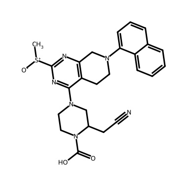 C[S+]([O-])c1nc2c(c(N3CCN(C(=O)O)C(CC#N)C3)n1)CCN(c1cccc3ccccc13)C2